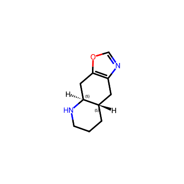 c1nc2c(o1)C[C@@H]1NCCC[C@H]1C2